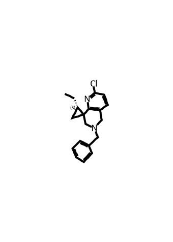 CC[C@H]1CC12CN(Cc1ccccc1)Cc1ccc(Cl)nc12